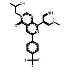 CN/C=C(\C=N)c1nc(-c2ccc(C(F)(F)F)cc2)cc2c(=O)n(CC(C)O)cnc12